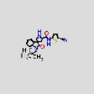 CC(C)(C)CN1C(=O)C2(CNC(C(=O)Nc3ccc(C#N)s3)C2)c2ccccc21